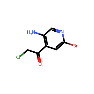 Nc1cnc(Br)cc1C(=O)CCl